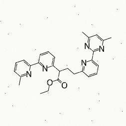 CCOC(=O)C(CCc1cccc(-c2nc(C)cc(C)n2)n1)c1cccc(-c2cccc(C)n2)n1